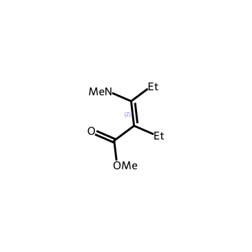 CC/C(NC)=C(\CC)C(=O)OC